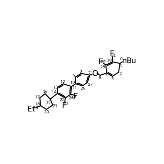 CCCCC1CC=C(COc2ccc(-c3ccc(C4CCC(CC)CC4)c(F)c3F)cc2)C(F)=C1F